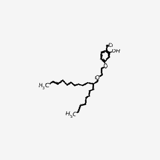 CCCCCCCCCCC(CCCCCCCC)COCCOc1ccc(C=O)c(O)c1